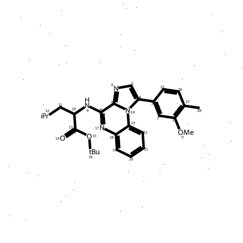 COc1cc(-c2cnc3c(NC(CC(C)C)C(=O)OC(C)(C)C)nc4ccccc4n23)ccc1C